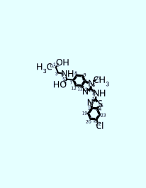 C[C@H](O)CNC(O)c1ccc2c(c1)nc(Nc1nc3ccc(Cl)cc3s1)n2C